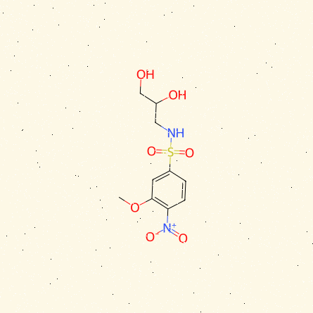 COc1cc(S(=O)(=O)NCC(O)CO)ccc1[N+](=O)[O-]